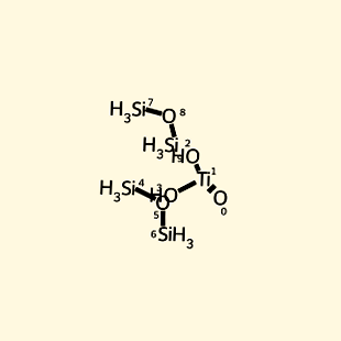 [O]=[Ti]([OH])[OH].[SiH3]O[SiH3].[SiH3]O[SiH3]